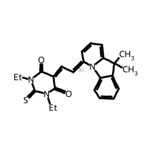 CCN1C(=O)C(=C/C=C2\C=CC=C3N2c2ccccc2C3(C)C)C(=O)N(CC)C1=S